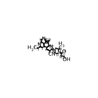 C=Cc1cc(-c2cc(C#N)c(N3CCN(C(=O)CCO)C(C)C3)nc2C2CC2)c2ccncc2n1